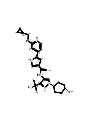 CC(C)[C@H]1CC[C@H](n2cc(NC(=O)c3coc(-c4ccnc(NCC5CC5)c4)c3)c(C(C)(C)O)n2)CC1